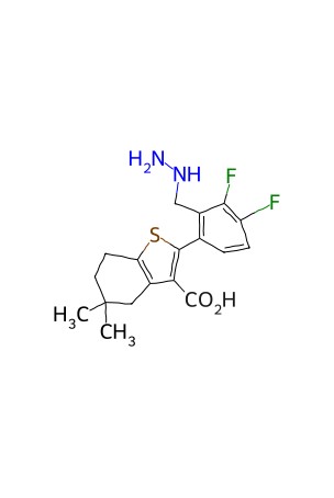 CC1(C)CCc2sc(-c3ccc(F)c(F)c3CNN)c(C(=O)O)c2C1